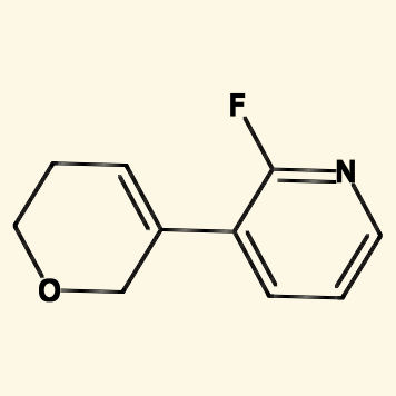 Fc1ncccc1C1=CCCOC1